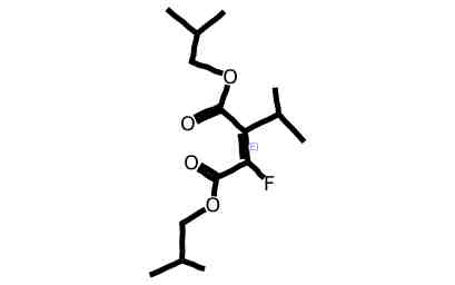 CC(C)COC(=O)/C(F)=C(\C(=O)OCC(C)C)C(C)C